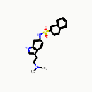 CN(C)CCc1c[nH]c2cc(NS(=O)(=O)c3ccc4ccccc4c3)ccc12